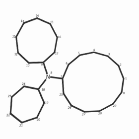 C1CCCCCCC(N(C2CCCCCCCC2)C2CCCCCC2)CCCCC1